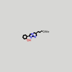 COC/C=C/c1cnc2nc(-c3ccccc3O)cn2c1